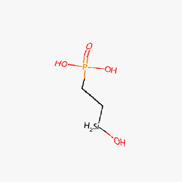 O=P(O)(O)CC[SiH2]O